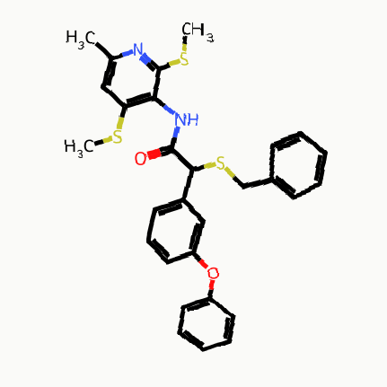 CSc1cc(C)nc(SC)c1NC(=O)C(SCc1ccccc1)c1cccc(Oc2ccccc2)c1